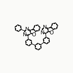 c1ccc(-c2nc(-c3cccc(-c4cccc(-c5cccc(-c6ncnc7c6oc6ccccc67)c5)c4)c3)c3oc4ccccc4c3n2)cc1